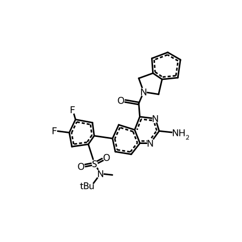 CN(C(C)(C)C)S(=O)(=O)c1cc(F)c(F)cc1-c1ccc2nc(N)nc(C(=O)N3Cc4ccccc4C3)c2c1